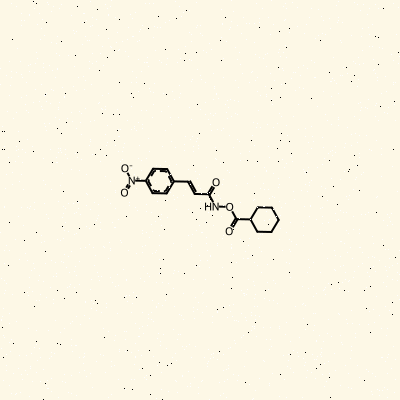 O=C(C=Cc1ccc([N+](=O)[O-])cc1)NOC(=O)C1CCCCC1